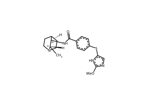 COc1ncc(Sc2ccc(C(=O)N[C@@H]3C4CCN(CC4)[C@H]3C)cc2)[nH]1